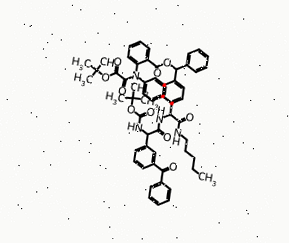 CCCCCNC(=O)C(Cc1ccc(N(C(=O)C(=O)OC(C)(C)C)c2ccccc2C(=O)OC(c2ccccc2)c2ccccc2)cc1)NC(=O)C(NC(=O)OC(C)(C)C)c1cccc(C(=O)c2ccccc2)c1